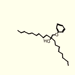 CCCCCCCCCC(O)(CCCCCCCC)COc1ccccc1